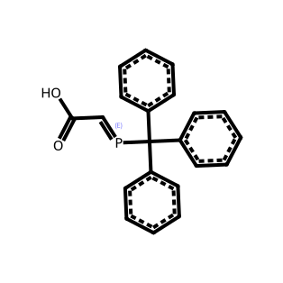 O=C(O)/C=P/C(c1ccccc1)(c1ccccc1)c1ccccc1